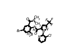 Bc1cc(Br)cc(C(=O)N(C)C)c1NC(=O)c1cc(C(F)(F)F)nn1-c1ncccc1Cl